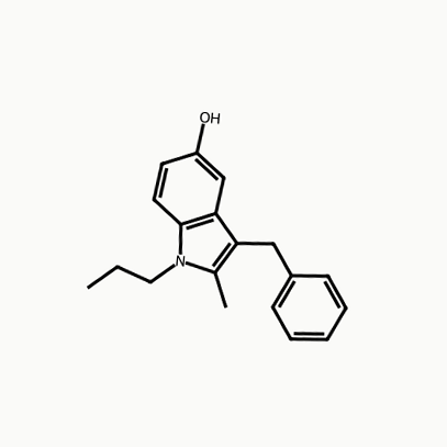 CCCn1c(C)c(Cc2ccccc2)c2cc(O)ccc21